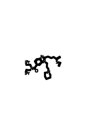 C=CSC(=C)CCCc1nc2ccc(C(=O)N(CCC(C)C)CCC(C)C)cc2n1CCCN1CCCCC1